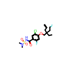 C=CCC(CC)(CCF)COc1cc(F)c(C(=O)NS(=O)(=O)N(C)C)cc1Cl